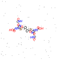 Cc1c(COc2nc(OC[C@H]3CCC(=O)N3)c(CNCC(=O)O)cc2Br)cccc1-c1cccc(COc2nc(OC[C@H]3CCC(=O)N3)c(CNCC(=O)O)cc2Br)c1C